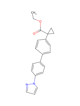 CCOC(=O)C1(c2ccc(-c3ccc(-n4cccn4)cc3)cc2)CC1